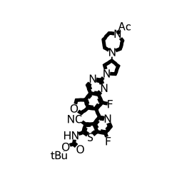 CC(=O)N1CCCN([C@@H]2CCN(c3ncc4c5c(c(-c6ncc(F)c7sc(NC(=O)OC(C)(C)C)c(C#N)c67)c(F)c4n3)COC5)C2)CC1